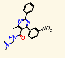 Cc1nc(-c2ccccc2)nc(-c2cccc([N+](=O)[O-])c2)c1C(=O)NCN(C)C